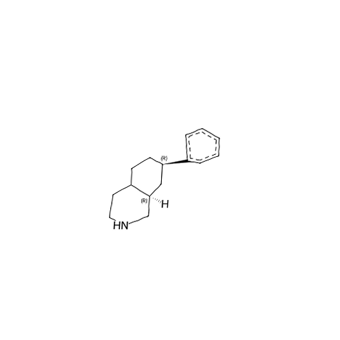 c1ccc([C@@H]2CCC3CCNC[C@@H]3C2)cc1